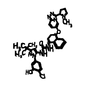 CN1CCCC1c1nnc2ccc(O[C@@H]3CC[C@H](NC(=O)Nc4cc(C(C)(C)C)nn4-c4ccc(Cl)c(O)c4)c4ccccc43)cn12